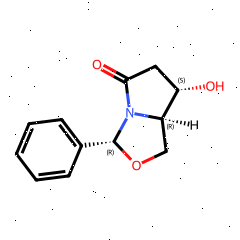 O=C1C[C@H](O)[C@H]2CO[C@H](c3ccccc3)N12